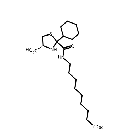 CCCCCCCCCCCCCCCCCCNC(=O)C1(C2CCCCC2)N[C@H](C(=O)O)CS1